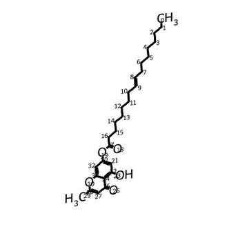 CCCCCCCC/C=C/CCCCCCCC(=O)Oc1cc(O)c2c(=O)cc(C)oc2c1